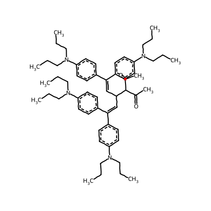 CCCN(CCC)c1ccc(C(=CC(C=C(c2ccc(N(CCC)CCC)cc2)c2ccc(N(CCC)CCC)cc2)C(C(C)=O)C(C)=O)c2ccc(N(CCC)CCC)cc2)cc1